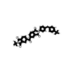 CC(C)(C)c1ccc(Cc2ccc(N3C(=O)c4ccc(C(=O)c5ccc6c(c5)C(=O)N(C(C)(C)C)C6=O)cc4C3=O)cc2)cc1